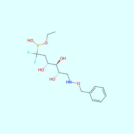 CCOP(O)C(F)(F)C[C@@H](O)[C@@H](O)[C@@H](O)CNOCc1ccccc1